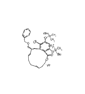 CC(C)[C@@H]1C/C=C/CC/C=C/C(=NOCc2ccccc2)Cc2c(Cl)c(O[Si](C)(C)C(C)(C)C)cc(O[Si](C)(C)C(C)(C)C)c2C(=O)O1